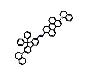 C1=CC2=C(CC1)N(c1ccc3c(c1)C(c1ccccc1)(c1ccccc1)c1cc(/C=C/C4=c5cccc6c5c(c5c7c(c(N8CCCc9ccccc98)ccc76)=CCC5)CC4)ccc1-3)CCC2